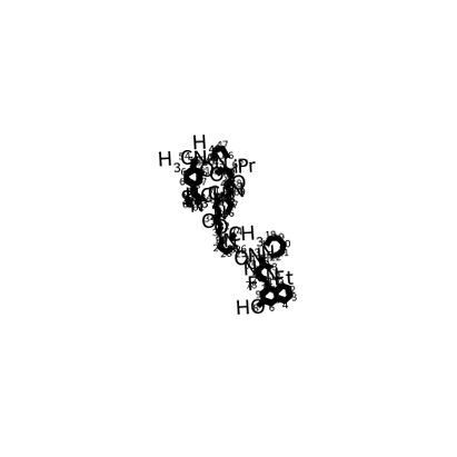 CCc1cccc2cc(O)cc(-c3ncc4c(N5CCCCCC5)nc(OC[C@@H]5CC[C@@H](COC(=O)N6CCN(c7cc([C@H](C(=O)N8CCC[C@H]8C(=O)N[C@@H](C)c8ccc(-c9scnc9C)cc8)C(C)C)on7)[C@H](C)C6)N5C)nc4c3F)c12